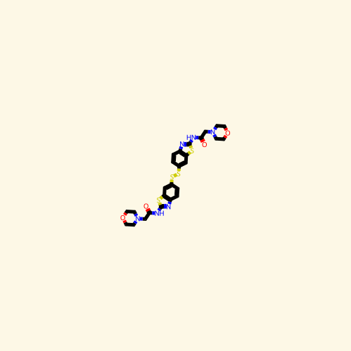 O=C(CN1CCOCC1)Nc1nc2ccc(SSc3ccc4nc(NC(=O)CN5CCOCC5)sc4c3)cc2s1